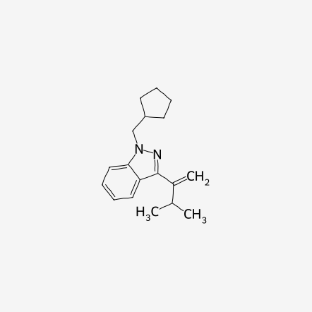 C=C(c1nn(CC2CCCC2)c2ccccc12)C(C)C